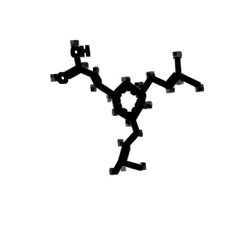 CC(C)=CCc1cc(C=CC(=O)O)cc(CC=C(C)C)c1